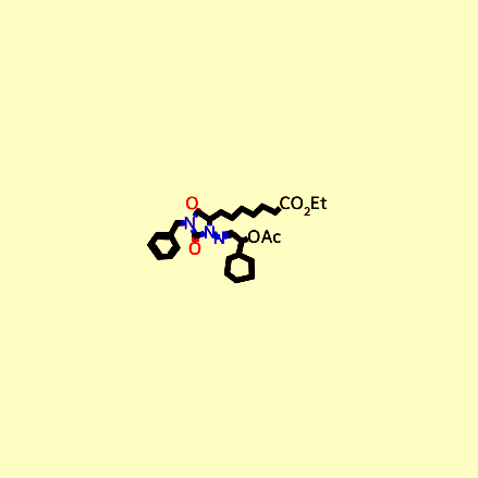 CCOC(=O)CCCCCCC1C(=O)N(Cc2ccccc2)C(=O)N1/N=C/C(OC(C)=O)C1CCCCC1